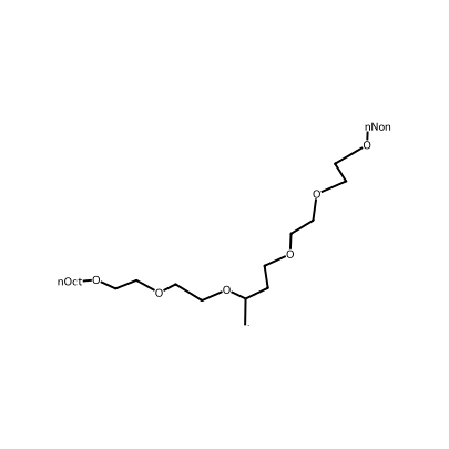 [CH2]C(CCOCCOCCOCCCCCCCCC)OCCOCCOCCCCCCCC